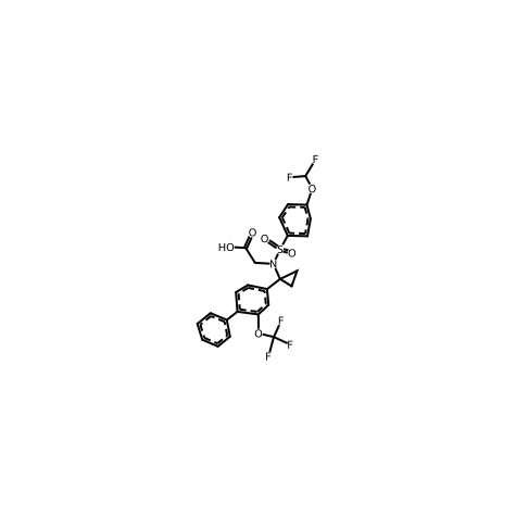 O=C(O)CN(C1(c2ccc(-c3ccccc3)c(OC(F)(F)F)c2)CC1)S(=O)(=O)c1ccc(OC(F)F)cc1